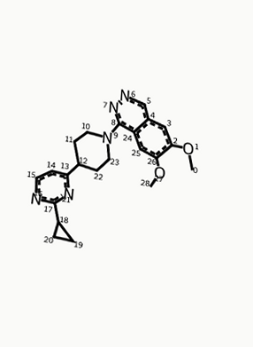 COc1cc2cnnc(N3CCC(c4ccnc(C5CC5)n4)CC3)c2cc1OC